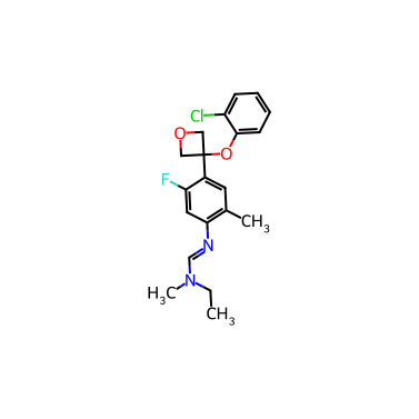 CCN(C)C=Nc1cc(F)c(C2(Oc3ccccc3Cl)COC2)cc1C